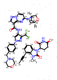 Cn1c(=O)n(C2CCC(=O)NC2=O)c2cccc(C#CC[C@H]3CN(Cc4ccc(-n5cc(NC(=O)c6cnn7ccc(N8C[C@H]9C[C@@H]8CO9)nc67)c(C(F)F)n5)cc4)CCO3)c21